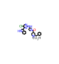 O=C(C1CCN(C(=O)O)C(Cc2ccccc2)C1)N1CC[C@@H](Nc2ncc(Cl)c(-c3c[nH]c4ccccc34)n2)C1